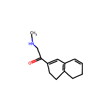 CNCC(=O)C1=CC2=C(CCC=C2)CC1